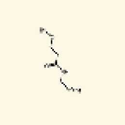 CCCCCCNC(=O)CCOC(C)C